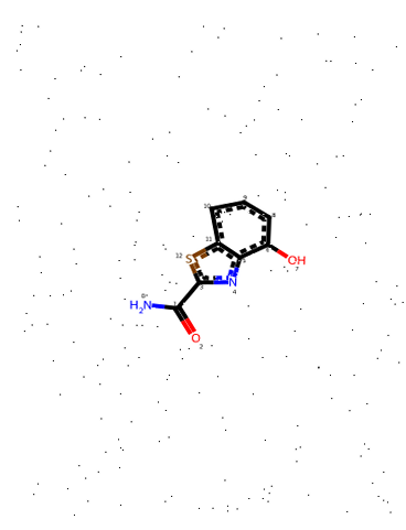 NC(=O)c1nc2c(O)cccc2s1